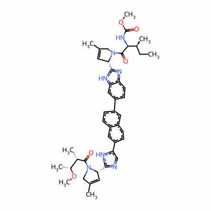 CC[C@H](C)[C@H](NC(=O)OC)C(=O)N1CC(C)=C[C@H]1c1nc2ccc(-c3ccc4cc(-c5cnc([C@@H]6C=C(C)CN6C(=O)[C@@H](C)[C@@H](C)OC)[nH]5)ccc4c3)cc2[nH]1